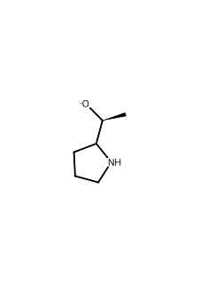 C[C@H]([O])C1CCCN1